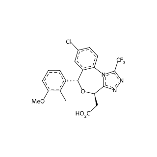 COc1cccc([C@H]2O[C@H](CC(=O)O)c3nnc(C(F)(F)F)n3-c3ccc(Cl)cc32)c1C